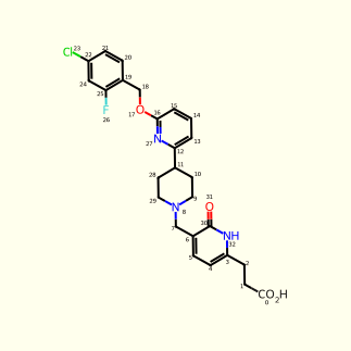 O=C(O)CCc1ccc(CN2CCC(c3cccc(OCc4ccc(Cl)cc4F)n3)CC2)c(=O)[nH]1